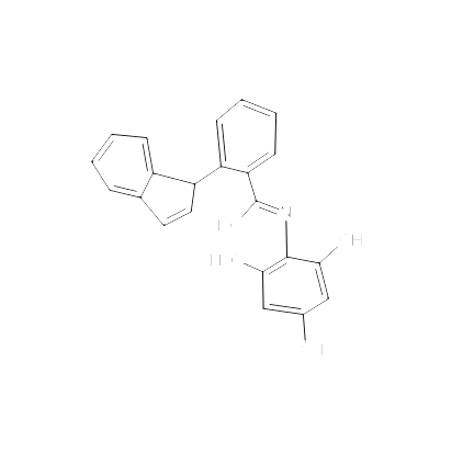 C/C(=N\c1c(C)cc(C)cc1C)c1ccccc1C1C=Cc2ccccc21